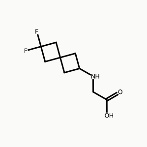 O=C(O)CNC1CC2(C1)CC(F)(F)C2